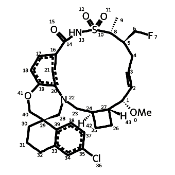 CO[C@H]1/C=C/C[C@H](CF)[C@@H](C)S(=O)(=O)NC(=O)c2ccc3c(c2)N(C[C@@H]2CC[C@H]21)C[C@@]1(CCCc2cc(Cl)ccc21)CO3